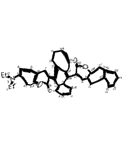 CCN(CC)c1ccc2cc(-c3c4ccccc4c(-c4cc5cc6ccccc6cc5oc4=O)c4ccccc34)c(=O)oc2c1